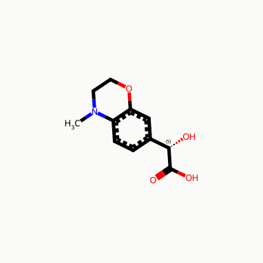 CN1CCOc2cc([C@H](O)C(=O)O)ccc21